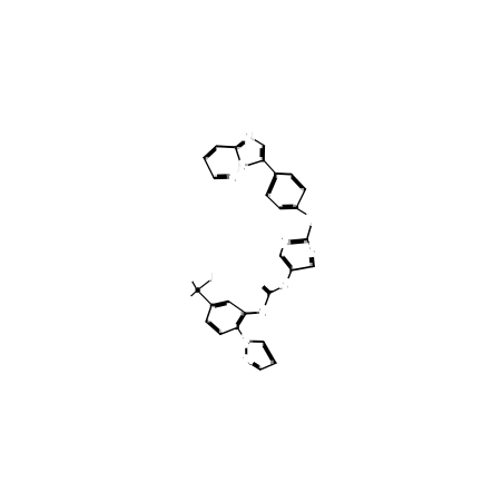 O=C(Nc1cnc(Oc2ccc(-c3cnc4cccnn34)cc2)nc1)Nc1cc(C(F)(F)F)ccc1-n1cccn1